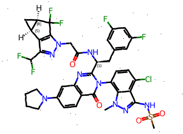 Cn1nc(NS(C)(=O)=O)c2c(Cl)ccc(-n3c([C@H](Cc4cc(F)cc(F)c4)NC(=O)Cn4nc(C(F)F)c5c4C(F)(F)[C@@H]4C[C@H]54)nc4cc(N5CCCC5)ccc4c3=O)c21